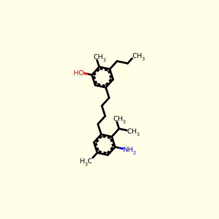 CCCc1cc(CCCCc2cc(C)cc(N)c2C(C)C)cc(O)c1C